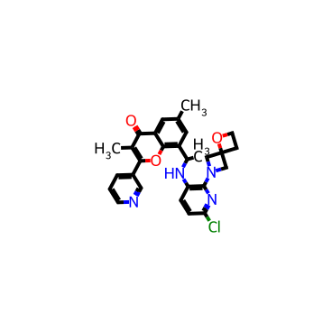 Cc1cc(C(C)Nc2ccc(Cl)nc2N2CC3(CCO3)C2)c2oc(-c3cccnc3)c(C)c(=O)c2c1